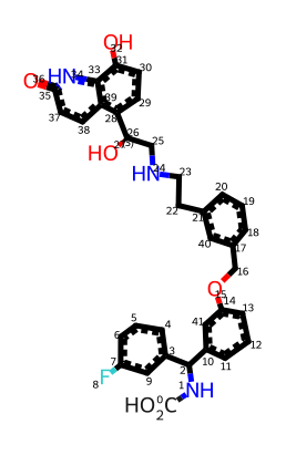 O=C(O)NC(c1cccc(F)c1)c1cccc(OCc2cccc(CCNC[C@@H](O)c3ccc(O)c4[nH]c(=O)ccc34)c2)c1